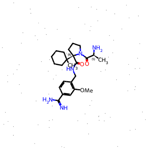 COc1cc(C(=N)N)ccc1CNC(=O)[C@]1(C2(C)CCCCC2)CCCN1C(=O)[C@H](C)N